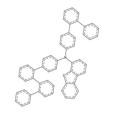 c1ccc(-c2ccccc2-c2ccc(N(c3ccc(-c4ccccc4-c4ccccc4-c4ccccc4)cc3)c3cccc4c3sc3ccccc34)cc2)cc1